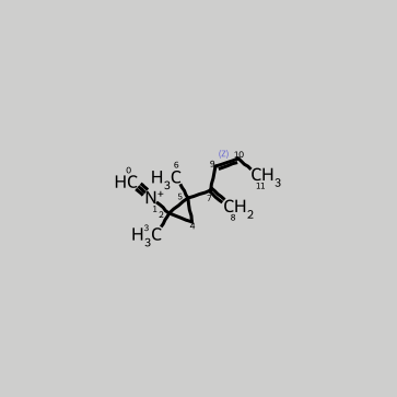 C#[N+]C1(C)CC1(C)C(=C)/C=C\C